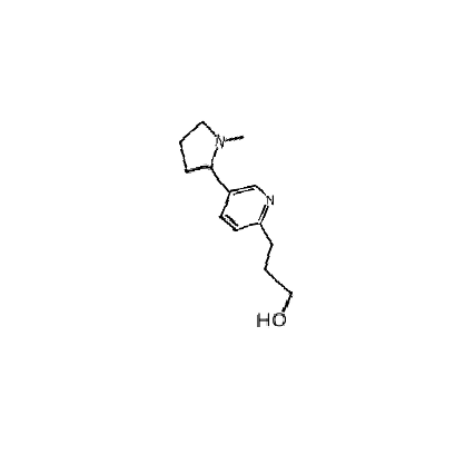 CN1CCCC1c1ccc(CCCO)nc1